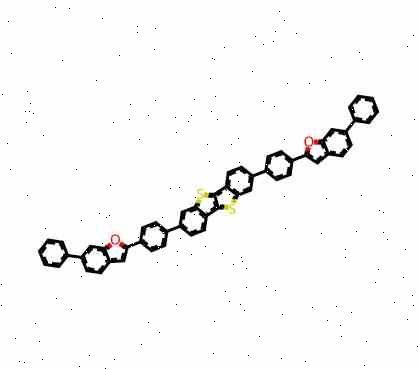 c1ccc(-c2ccc3cc(-c4ccc(-c5ccc6c(c5)sc5c7ccc(-c8ccc(-c9cc%10ccc(-c%11ccccc%11)cc%10o9)cc8)cc7sc65)cc4)oc3c2)cc1